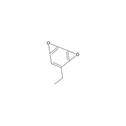 CCc1cc2oc2c2oc12